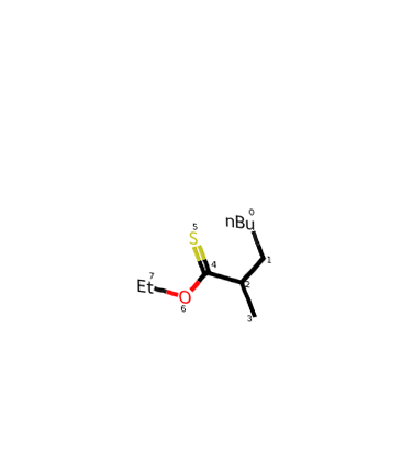 CCCCCC(C)C(=S)OCC